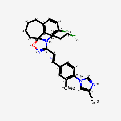 COc1cc(/C=C/C2=NOC3(CCCCc4ccc(F)cc43)N2CCCCl)ccc1-n1cnc(C)c1